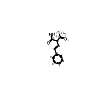 NC(=O)C(C=Cc1ccccc1)C(N)=O